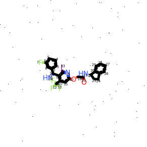 N=C(c1cccc(F)c1)c1c(C(F)(F)F)cc(OCC(=O)N[C@H]2CCc3ccccc32)nc1I